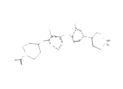 Cc1c(Oc2ccc(C3COS(=O)(=O)OC3)cc2Cl)ncnc1OC1CCN(C(=O)OCC(C)C)CC1